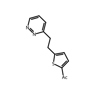 CC(=O)c1ccc(CCc2cccnn2)s1